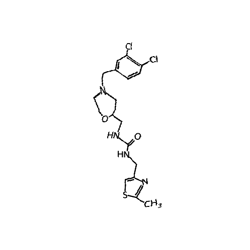 Cc1nc(CNC(=O)NCC2CN(Cc3ccc(Cl)c(Cl)c3)CCO2)cs1